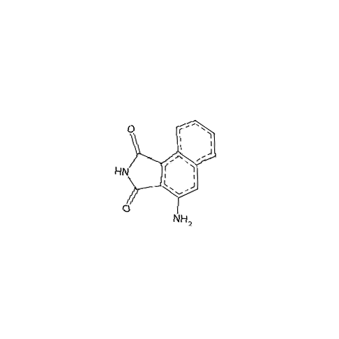 Nc1cc2ccccc2c2c1C(=O)NC2=O